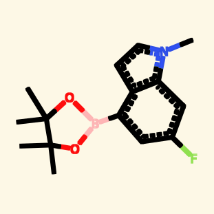 Cn1ccc2c(B3OC(C)(C)C(C)(C)O3)cc(F)cc21